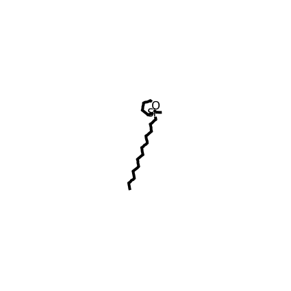 CCCCCCCCCCCCC[Si]1(C)CCCCO1